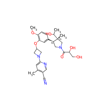 COc1ccc([C@@H]2CN(C(=O)C(O)CO)C[C@@]2(C)C(C)O)cc1OC1CN(c2cc(C)c(C#N)cn2)C1